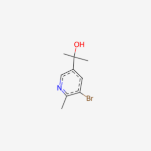 Cc1ncc(C(C)(C)O)cc1Br